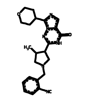 [C-]#[N+]c1ccccc1CN1CC(C)C(c2nn3c(C4CCOCC4)ncc3c(=O)[nH]2)C1